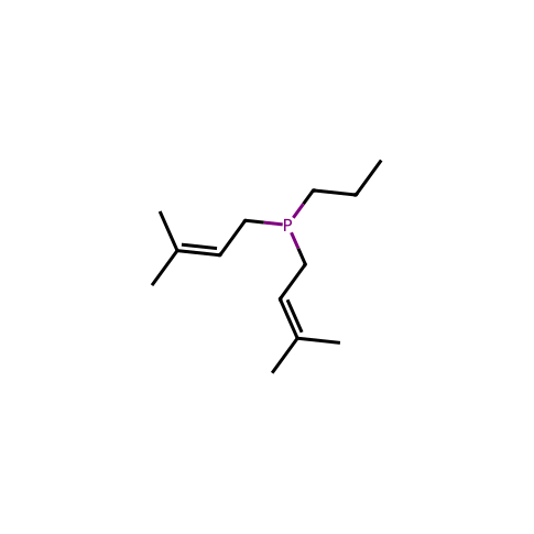 CCCP(CC=C(C)C)CC=C(C)C